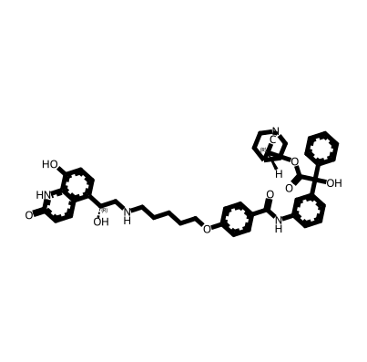 O=C(Nc1cccc(C(O)(C(=O)O[C@H]2CN3CCC2CC3)c2ccccc2)c1)c1ccc(OCCCCCNC[C@H](O)c2ccc(O)c3[nH]c(=O)ccc23)cc1